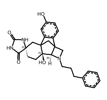 O=C1NC(=O)[C@@]2(CC[C@@]3(O)[C@@H]4N(CCCc5ccccc5)CC45CC3(C2)c2cc(O)ccc25)N1